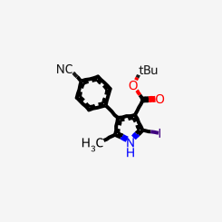 Cc1[nH]c(I)c(C(=O)OC(C)(C)C)c1-c1ccc(C#N)cc1